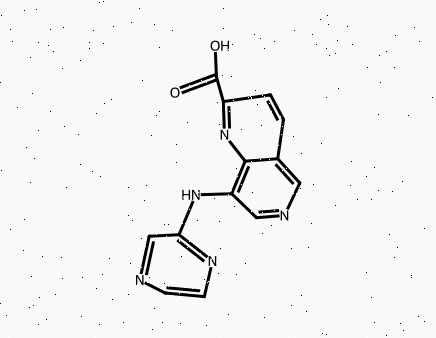 O=C(O)c1ccc2cncc(Nc3cnccn3)c2n1